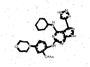 COc1cc(N2CCOCC2)ccc1Nc1nc(NC2CCCCC2)c2c(-c3c[nH]nn3)n[nH]c2n1